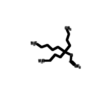 C=[C]OC(CCCC)(CCCC)CCCCC